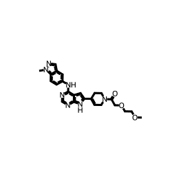 COCCOCC(=O)N1CC=C(c2cc3c(Nc4ccc5c(cnn5C)c4)ncnc3[nH]2)CC1